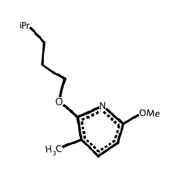 COc1ccc(C)c(OCCCC(C)C)n1